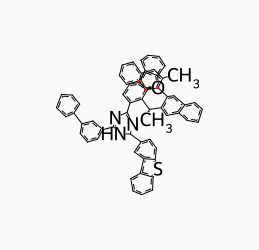 Cc1cc2ccccc2cc1-c1cc2ccccc2cc1[C@@H](C)c1c(C2=NC(c3ccc4sc5ccccc5c4c3)NC(c3cccc(-c4ccccc4)c3)=N2)ccc2c1oc1ccccc12